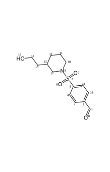 O=Cc1ccc(S(=O)(=O)N2CCCC(CCO)C2)cc1